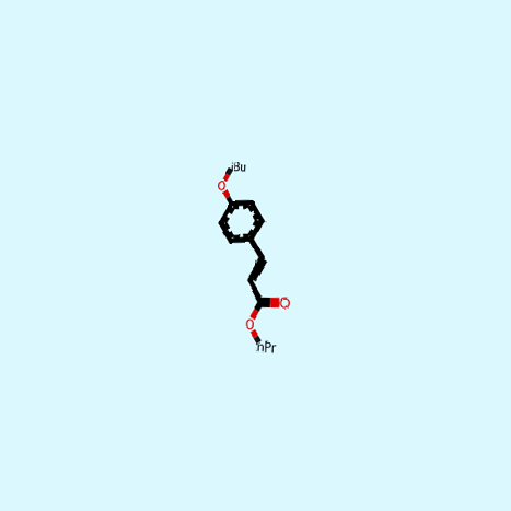 CCCOC(=O)/C=C/c1ccc(OC(C)CC)cc1